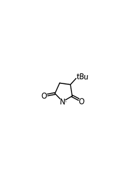 CC(C)(C)C1CC(=O)[N]C1=O